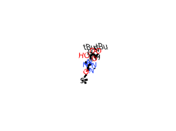 CC(C)(C)[Si]1(C(C)(C)C)OC[C@H]2O[C@@H](n3cnc4c(OCC[Si](C)(C)C)ncnc43)[C@H](O)[C@@H]2O1